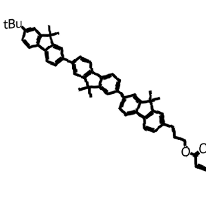 C=CC(=O)OCCCc1ccc2c(c1)C(C)(C)c1cc(-c3ccc4c(c3)C(C)(C)c3cc(-c5ccc6c(c5)C(C)(C)c5cc(C(C)(C)C)ccc5-6)ccc3-4)ccc1-2